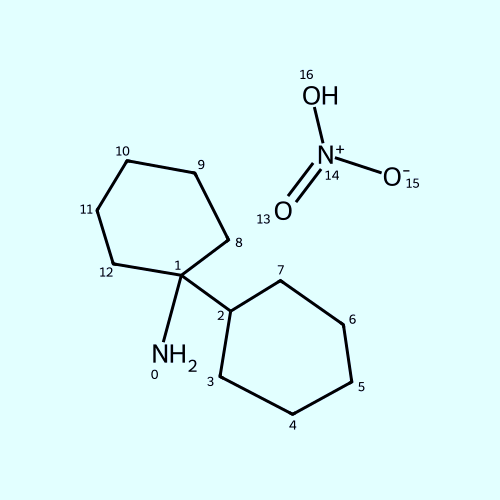 NC1(C2CCCCC2)CCCCC1.O=[N+]([O-])O